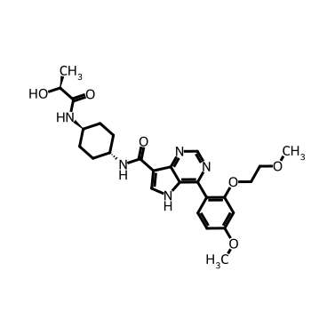 COCCOc1cc(OC)ccc1-c1ncnc2c(C(=O)N[C@H]3CC[C@H](NC(=O)[C@H](C)O)CC3)c[nH]c12